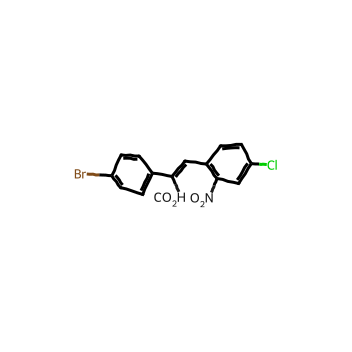 O=C(O)C(=Cc1ccc(Cl)cc1[N+](=O)[O-])c1ccc(Br)cc1